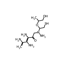 C=C(N)/C(N)=C(\N)C(=O)CN(N)C(CS)OC(C)CO